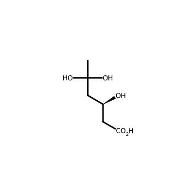 CC(O)(O)C[C@@H](O)CC(=O)O